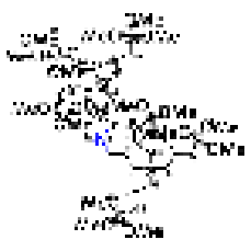 CO[Si](CCC[Si](CCCN(C)CCC[Si](CCC[Si](OC)(OC)OC)(CCC[Si](OC)(OC)OC)CCC[Si](OC)(OC)OC)(CCC[Si](OC)(OC)OC)CCC[Si](OC)(OC)OC)(OC)OC